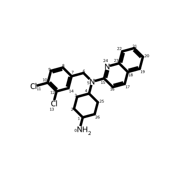 NC1CCC(N(Cc2ccc(Cl)c(Cl)c2)c2ccc3ccccc3n2)CC1